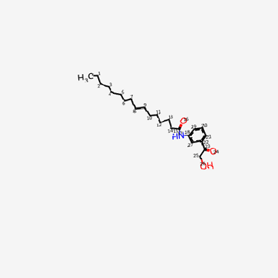 CCCCCCCCCCCCCCCC(=O)Nc1cccc(C(=O)CO)c1